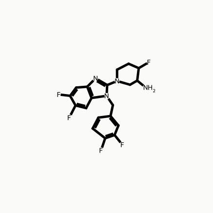 NC1CN(c2nc3cc(F)c(F)cc3n2Cc2ccc(F)c(F)c2)CCC1F